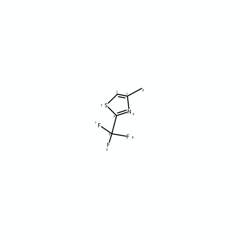 Cc1csc(C(F)(F)F)n1